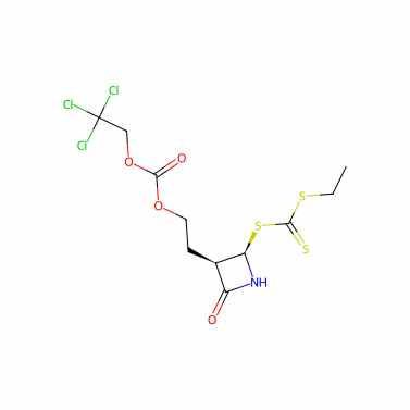 CCSC(=S)S[C@H]1NC(=O)[C@H]1CCOC(=O)OCC(Cl)(Cl)Cl